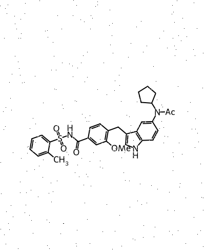 COc1cc(C(=O)NS(=O)(=O)c2ccccc2C)ccc1Cc1c[nH]c2ccc(N(C(C)=O)C3CCCC3)cc12